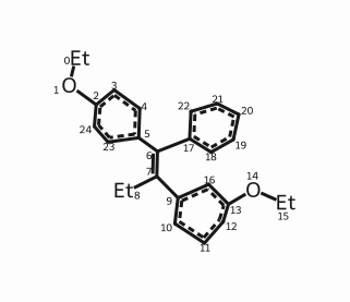 CCOc1ccc(/C(=C(\CC)c2cccc(OCC)c2)c2ccccc2)cc1